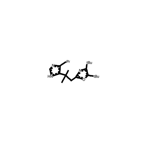 CC(C)c1nc[nH]c1C(C)(C)Cc1nc(C(C)(C)C)c(C(C)(C)C)o1